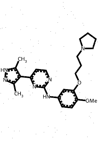 COc1ccc(Nc2nccc(-c3c(C)n[nH]c3C)n2)cc1OCCCN1CCCC1